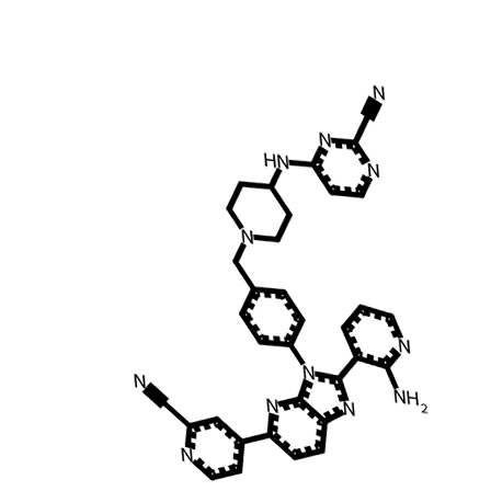 N#Cc1cc(-c2ccc3nc(-c4cccnc4N)n(-c4ccc(CN5CCC(Nc6ccnc(C#N)n6)CC5)cc4)c3n2)ccn1